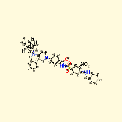 C[C@@H]1[C@@H](N(Cc2ccccc2)C2CCN(c3ccc(C(=O)NS(=O)(=O)c4ccc(NCC5CCCCC5)c([N+](=O)[O-])c4)cc3)CC2)C[C@H]2C[C@@H]1C2(C)C